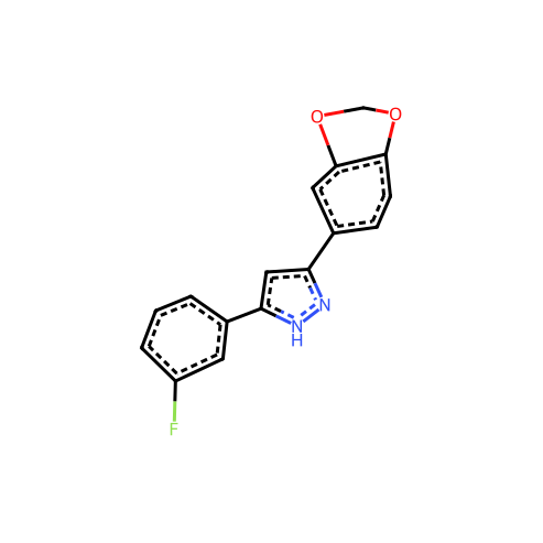 Fc1cccc(-c2cc(-c3ccc4c(c3)OCO4)n[nH]2)c1